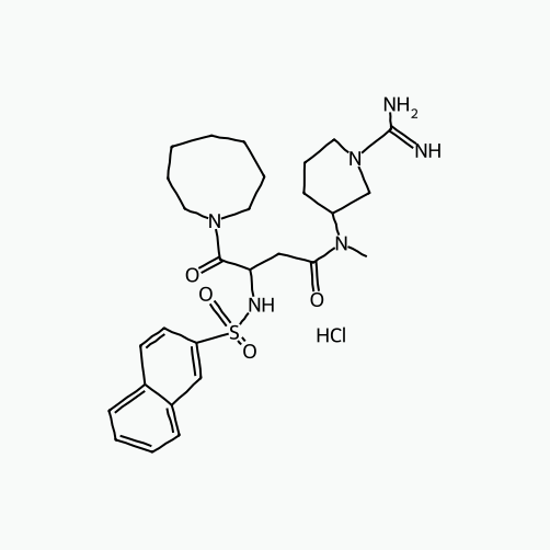 CN(C(=O)CC(NS(=O)(=O)c1ccc2ccccc2c1)C(=O)N1CCCCCCC1)C1CCCN(C(=N)N)C1.Cl